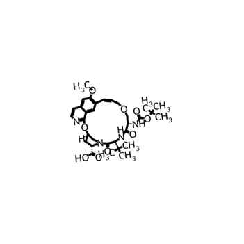 COc1cc2ccnc3c2cc1C=CCOC[C@H](NC(=O)OC(C)(C)C)C(=O)N[C@@H](C(C)(C)C)C(=O)N1C[C@@H](C[C@H]1C(=O)O)O3